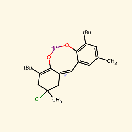 Cc1cc2c(c(C(C)(C)C)c1)OPOC1=C(C(C)(C)C)CC(C)(Cl)C/C1=C/2